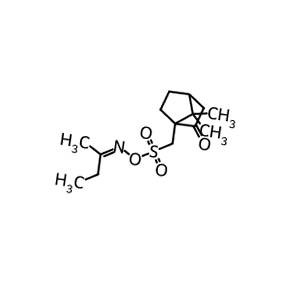 CCC(C)=NOS(=O)(=O)CC12CCC(CC1=O)C2(C)C